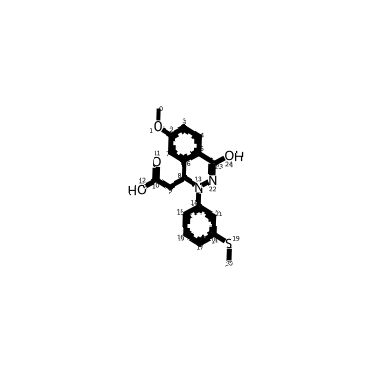 COc1ccc2c(c1)C(CC(=O)O)N(c1cccc(SC)c1)N=C2O